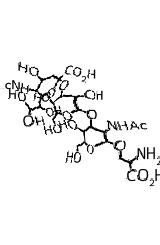 CC(=O)NC1C(O)CC(OC2C(O)C(CO)OC(OC3C(O)C(CO)OC(OCC(N)C(=O)O)C3NC(C)=O)C2O)(C(=O)O)OC1C(O)C(O)O